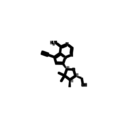 C#Cc1cc([C@@H]2O[C@H](CO)[C@@H](C)C2(C)C)n2ncnc(N)c12